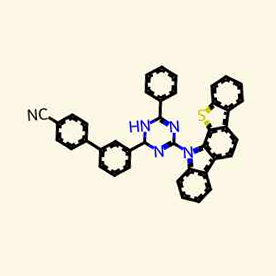 N#Cc1ccc(-c2cccc(C3N=C(n4c5ccccc5c5ccc6c7ccccc7sc6c54)N=C(c4ccccc4)N3)c2)cc1